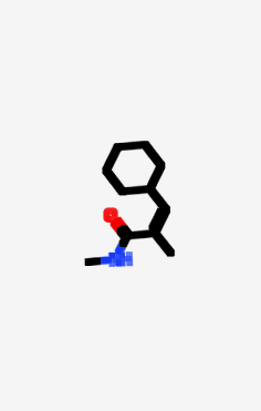 CNC(=O)C(C)=CC1CCCCC1